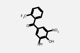 CCCc1cc(C(=O)c2ccccc2C(F)(F)F)cc([N+](=O)[O-])c1O